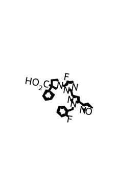 O=C(O)C1(c2ccccc2)CCN(c2nc(-c3cc(-c4ccon4)n(Cc4ccccc4F)n3)ncc2F)C1